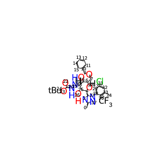 Cc1nc([C@@H]2O[C@@H]3COC(c4ccccc4)O[C@@H]3[C@H](NNC(=O)OC(C)(C)C)[C@H]2O)n(-c2cc(Cl)cc(C)c2C(F)(F)F)n1